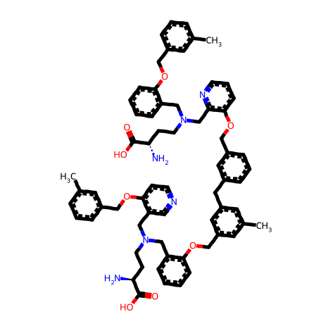 Cc1cccc(COc2ccncc2CN(CC[C@H](N)C(=O)O)Cc2ccccc2OCc2cc(C)cc(Cc3cccc(COc4cccnc4CN(CC[C@H](N)C(=O)O)Cc4ccccc4OCc4cccc(C)c4)c3)c2)c1